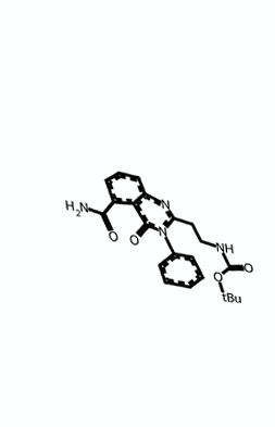 CC(C)(C)OC(=O)NCCc1nc2cccc(C(N)=O)c2c(=O)n1-c1ccccc1